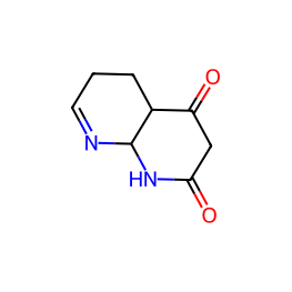 O=C1CC(=O)C2CCC=NC2N1